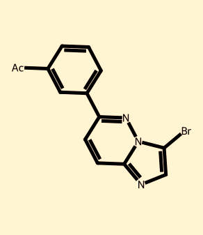 CC(=O)c1cccc(-c2ccc3ncc(Br)n3n2)c1